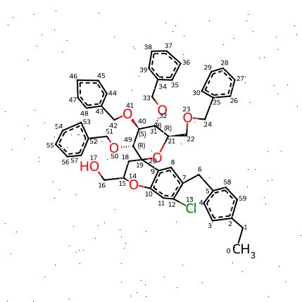 CCc1ccc(Cc2cc3c(cc2Cl)OC(CO)CC32O[C@H](COCc3ccccc3)[C@@H](OCc3ccccc3)[C@H](OCc3ccccc3)[C@H]2OCc2ccccc2)cc1